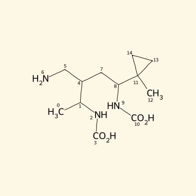 CC(NC(=O)O)C(CN)CC(NC(=O)O)C1(C)CC1